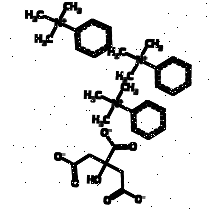 C[N+](C)(C)c1ccccc1.C[N+](C)(C)c1ccccc1.C[N+](C)(C)c1ccccc1.O=C([O-])CC(O)(CC(=O)[O-])C(=O)[O-]